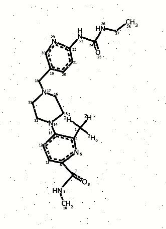 [2H]C([2H])([2H])c1nc(C(=O)NC)ccc1N1CCN(Cc2ccc(NC(=O)NCC)nc2)CC1